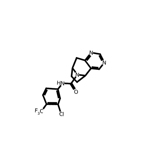 O=C(Nc1ccc(C(F)(F)F)c(Cl)c1)N1C2CCC1c1cncnc1C2